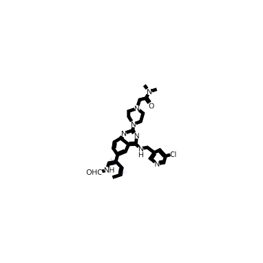 C/C=C\C(=C/NC=O)c1ccc2nc(N3CCN(CC(=O)N(C)C)CC3)nc(NCc3cncc(Cl)c3)c2c1